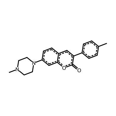 Cc1ccc(-c2cc3ccc(N4CCN(C)CC4)cc3oc2=O)cc1